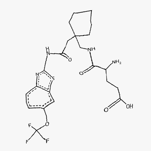 NC(CCC(=O)O)C(=O)NCC1(CC(=O)Nc2nc3ccc(OC(F)(F)F)cc3s2)CCCCC1